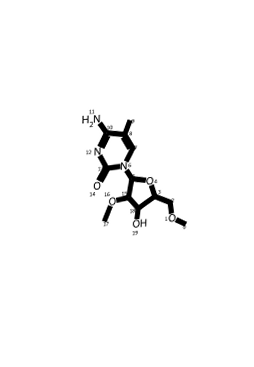 COCC1OC(n2cc(C)c(N)nc2=O)C(OC)C1O